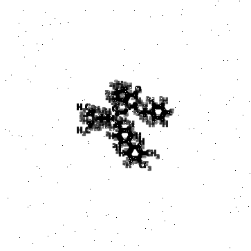 [2H]c1c([2H])c(C([2H])([2H])Sc2nc(=O)c3c(n2CC(=O)N(C([2H])([2H])c2c([2H])c([2H])c(-c4c([2H])c([2H])c(C(F)(F)F)c(C)c4[2H])c([2H])c2[2H])C([2H])([2H])C([2H])([2H])N(C([2H])([2H])C)C([2H])([2H])C)C([2H])([2H])C([2H])([2H])C3([2H])[2H])c([2H])c([2H])c1F